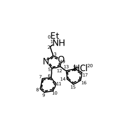 CCNCc1nc(-c2ccccc2)c(-c2ccccc2)o1.Cl